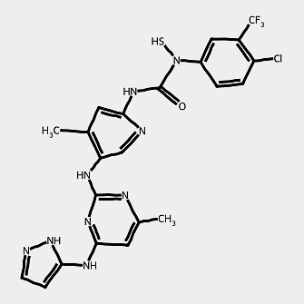 Cc1cc(Nc2ccn[nH]2)nc(Nc2cnc(NC(=O)N(S)c3ccc(Cl)c(C(F)(F)F)c3)cc2C)n1